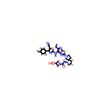 CCc1nc2sc(N3CCC4(CCCN4CC(=O)N4CC(O)C4)C3)nn2c1N(C)c1nc(-c2ccc(C)cc2)c(C#N)s1